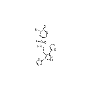 O=S(=O)(NCCc1c(-c2cccs2)n[nH]c1-c1cccs1)c1cnc(Cl)c(Br)c1